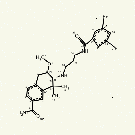 CO[C@@H]1Cc2ccc(C(N)=O)cc2C(C)(C)[C@H]1NCCCNC(=O)c1cc(F)cc(F)c1